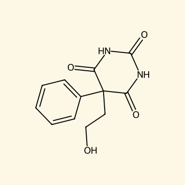 O=C1NC(=O)C(CCO)(c2ccccc2)C(=O)N1